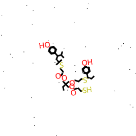 CCC(SCCCOCC(CC)(COC(=O)CCS)COC(=O)CCSC(C)(C)CC(c1ccc(O)cc1)C(C)C)c1ccc(O)cc1